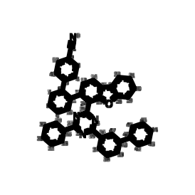 N#Cc1ccc(-c2ccccc2-c2ccc3c(oc4ccccc43)c2-c2nc(-c3ccccc3)nc(-c3cccc(-c4ccccc4)c3)n2)cc1